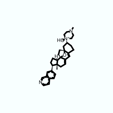 CN1CC[N+](O)([C@@H]2CCC3=CC4=CC[C@]5(C)[C@@H](c6ccc7ccncc7c6)CC[C@H]5[C@@]45CC[C@]3(C2)O5)CC1